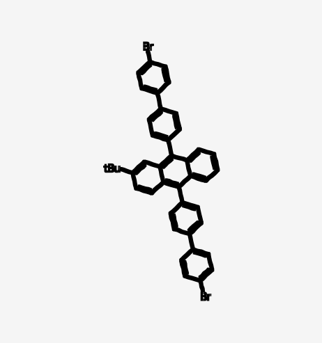 CC(C)(C)c1ccc2c(-c3ccc(-c4ccc(Br)cc4)cc3)c3ccccc3c(-c3ccc(-c4ccc(Br)cc4)cc3)c2c1